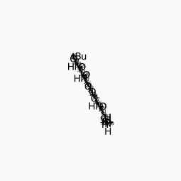 C=C1C[C@H]2[C@H](CS[C@H]2CCCCC(=O)NCCCOCCOCCOCCCNC(=O)CCCC(=O)NCCCOC(C)(C)C)N1